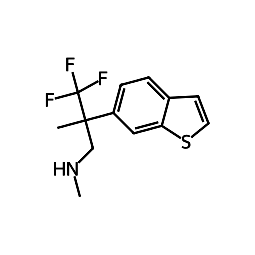 CNCC(C)(c1ccc2ccsc2c1)C(F)(F)F